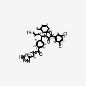 CC1C=CCC2(C1)N=C(c1cc(Cl)cc(Cl)c1)C(=O)N2[C@H](CCC(C)(C)C)c1ccc(C(=O)NCc2nn[nH]n2)cc1